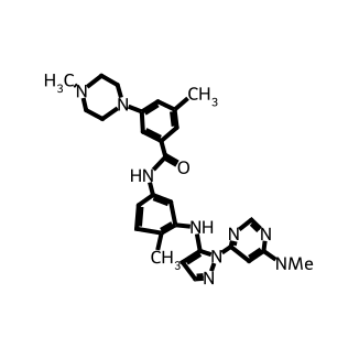 CNc1cc(-n2nccc2Nc2cc(NC(=O)c3cc(C)cc(N4CCN(C)CC4)c3)ccc2C)ncn1